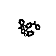 CC(c1ccccc1)c1ccc(O)c(C(c2ccccc2)c2cc(C(C)c3ccccc3)ccc2O)c1